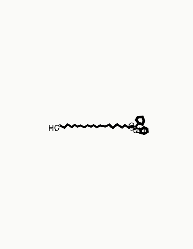 CC(C)(C)[Si](OCCCCCCCCCCCCCCCCCCCCO)(c1ccccc1)c1ccccc1